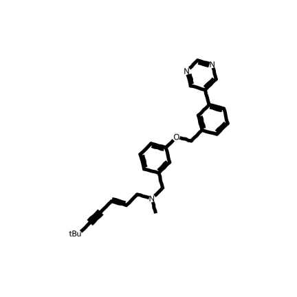 CN(CC=CC#CC(C)(C)C)Cc1cccc(OCc2cccc(-c3cncnc3)c2)c1